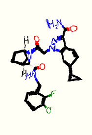 NC(=O)c1nn(CC(=O)N2[C@@H]3CC[C@@H](C3)[C@H]2C(=O)NCc2cccc(Cl)c2F)c2cc(C3CC3)ccc12